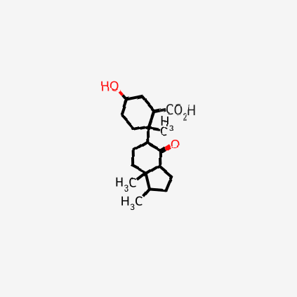 CC1CCC2C(=O)C(C3(C)CCC(O)CC3C(=O)O)CCC12C